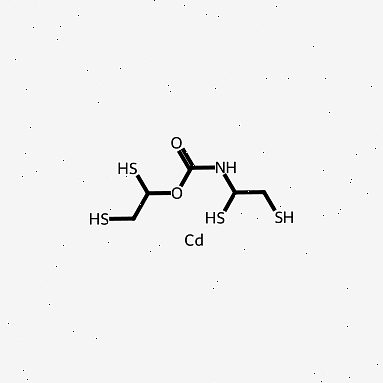 O=C(NC(S)CS)OC(S)CS.[Cd]